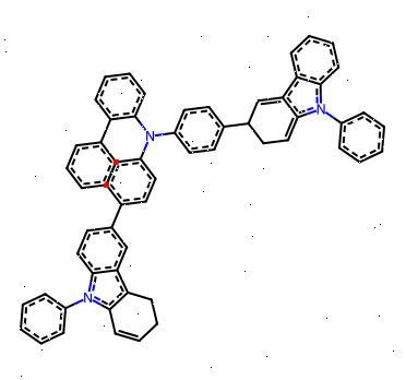 C1=Cc2c(c3cc(-c4ccc(N(c5ccc(C6C=c7c(n(-c8ccccc8)c8ccccc78)=CC6)cc5)c5ccccc5-c5ccccc5)cc4)ccc3n2-c2ccccc2)CC1